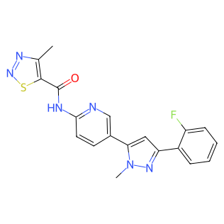 Cc1nnsc1C(=O)Nc1ccc(-c2cc(-c3ccccc3F)nn2C)cn1